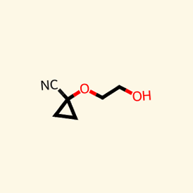 N#CC1(OCCO)CC1